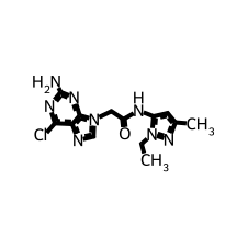 CCn1nc(C)cc1NC(=O)Cn1cnc2c(Cl)nc(N)nc21